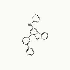 c1ccc(Nc2cc(-c3cccc(-c4ccccc4)c3)c3sc4ccccc4c3c2)cc1